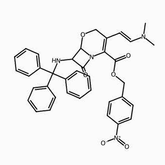 CN(C)C=CC1=C(C(=O)OCc2ccc([N+](=O)[O-])cc2)N2C(=O)C(NC(c3ccccc3)(c3ccccc3)c3ccccc3)C2OC1